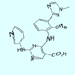 COc1c(Nc2nc(Nc3cccnc3)ncc2C(=O)O)cccc1-c1ncn(C)n1